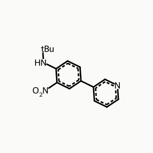 CC(C)(C)Nc1ccc(-c2cccnc2)cc1[N+](=O)[O-]